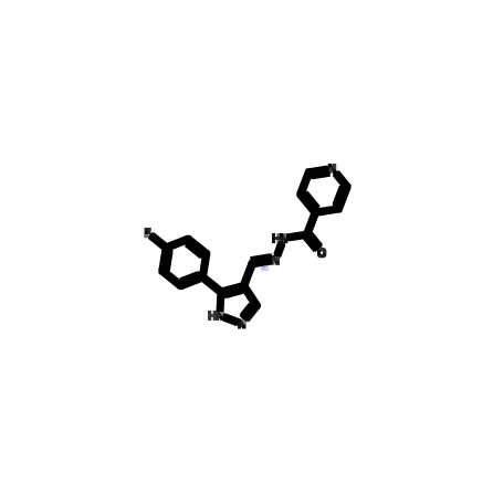 O=C(N/N=C/c1cn[nH]c1-c1ccc(F)cc1)c1ccncc1